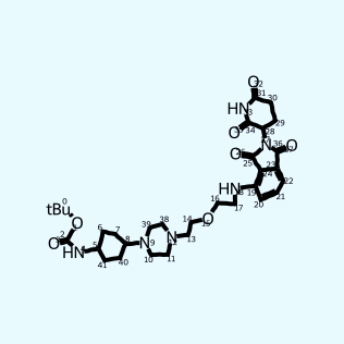 CC(C)(C)OC(=O)NC1CCC(N2CCN(CCOCCNc3cccc4c3C(=O)N(C3CCC(=O)NC3=O)C4=O)CC2)CC1